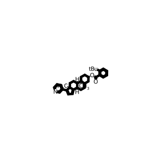 CC(C)(C)c1ccccc1C(=O)O[C@H]1CC[C@@]2(C)C(=CC[C@H]3C4=CC=C(c5cccnc5)[C@@]4(C)CC[C@@H]32)C1